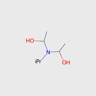 CC(C)N(C(C)O)C(C)O